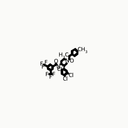 Cc1ccc(C(C)C(=O)N2CC[C@@H](N(C)C(=O)c3cc(C(F)(F)F)cc(C(F)(F)F)c3)[C@H](c3ccc(Cl)c(Cl)c3)C2)cc1